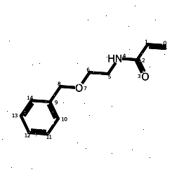 C=CC(=O)NCCOCc1ccccc1